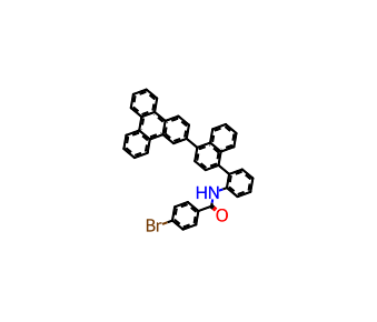 O=C(Nc1ccccc1-c1ccc(-c2ccc3c4ccccc4c4ccccc4c3c2)c2ccccc12)c1ccc(Br)cc1